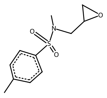 Cc1ccc(S(=O)(=O)N(C)CC2CO2)cc1